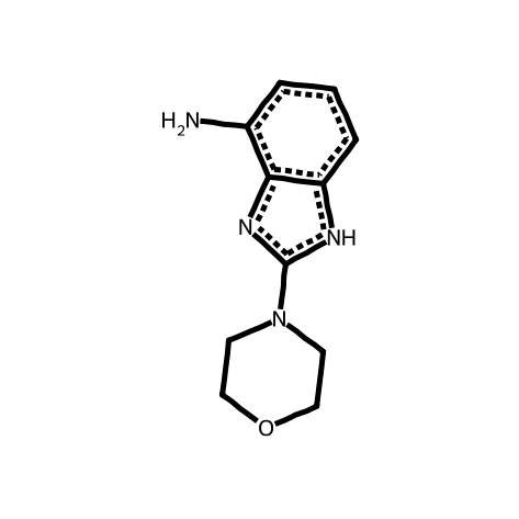 Nc1cccc2[nH]c(N3CCOCC3)nc12